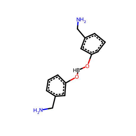 NCc1cccc(OBOc2cccc(CN)c2)c1